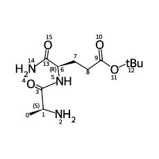 C[C@H](N)C(=O)N[C@H](CCC(=O)OC(C)(C)C)C(N)=O